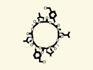 CC(C)CC[C@H]1C(=O)O[C@H](C)C(=O)N(C)[C@@H](CC(C)C)C(=O)O[C@H](Cc2ccc(CCl)cc2)C(=O)N(C)[C@@H](CC(C)C)C(=O)O[C@H](C)C(=O)N(C)[C@@H](CC(C)C)C(=O)O[C@H](Cc2ccc(CCl)cc2)C(=O)N1C